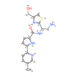 Cc1ccc(-c2ccc(C(=O)NC(CN)c3nc(CO)cs3)[nH]2)nc1